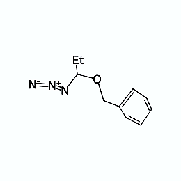 CCC(N=[N+]=[N-])OCc1ccccc1